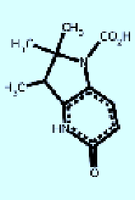 CC1c2[nH]c(=O)ccc2N(C(=O)O)C1(C)C